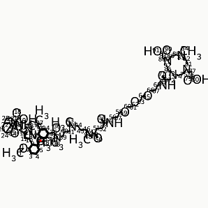 COc1cccc(OC)c1-c1cc(C(=O)NC2(C(=O)O)C3CC4CC(C3)CC2C4)nn1-c1ccc(C(=O)N(C)CCCN(C)CCCN(C)C(=O)CCC(=O)NCCCOCCOCCOCCCNC(=O)CN2CCN(CC(=O)O)CCN(C)CCN(CC(=O)O)CC2)cc1C(C)C